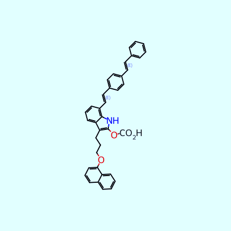 O=C(O)Oc1[nH]c2c(/C=C/c3ccc(/C=C/c4ccccc4)cc3)cccc2c1CCCOc1cccc2ccccc12